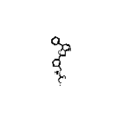 O=C(CCl)NCc1cccc(-c2cc3nccc(-c4ccccc4)c3o2)c1